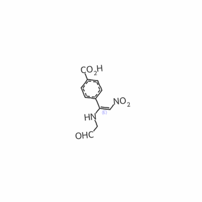 O=CCN/C(=C/[N+](=O)[O-])c1ccc(C(=O)O)cc1